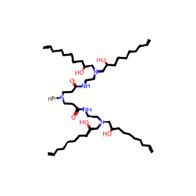 C=CCCCCCCC(O)CN(CCNC(=O)CCN(CCC)CCC(=O)NCCN(CC(O)CCCCCCC=C)CC(O)CCCCCCC=C)CC(O)CCCCCCC=C